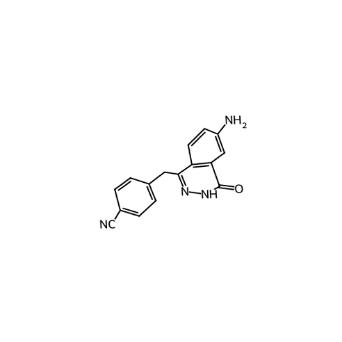 N#Cc1ccc(Cc2n[nH]c(=O)c3cc(N)ccc23)cc1